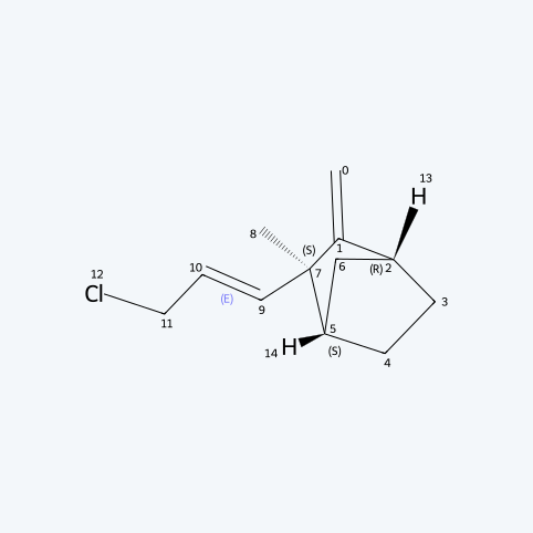 C=C1[C@@H]2CC[C@@H](C2)[C@@]1(C)/C=C/CCl